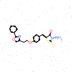 NN1C(=O)C(=Cc2ccc(OCCc3coc(-c4ccccc4)n3)cc2)SC1=S